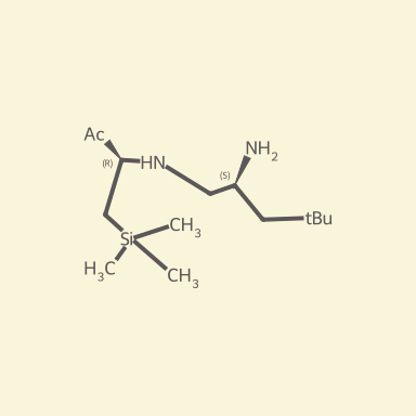 CC(=O)[C@H](C[Si](C)(C)C)NC[C@@H](N)CC(C)(C)C